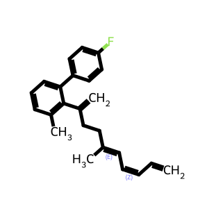 C=C/C=C\C=C(/C)CCC(=C)c1c(C)cccc1-c1ccc(F)cc1